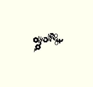 CCC(C)(C)C(=O)OCn1c(N(C)C2CCN(c3nc4ccccc4n3Cc3ccc(F)cc3)CC2)nccc1=O